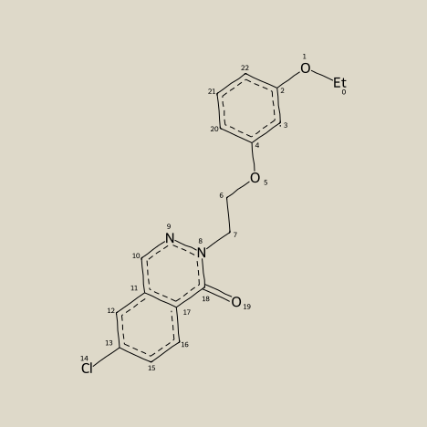 CCOc1[c]c(OCCn2ncc3cc(Cl)ccc3c2=O)ccc1